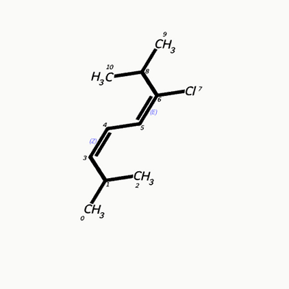 CC(C)/C=C\C=C(\Cl)C(C)C